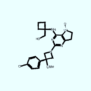 COC1(c2ccc(Cl)cc2)CN(c2nc3c(c(NC4(CO)CCC4)n2)[S@+]([O-])CC3)C1